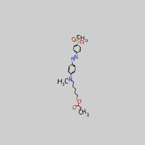 C=CC(=O)OCCCCCCN(C)c1ccc(/N=N/c2ccc(S(C)(=O)=O)cc2)cc1